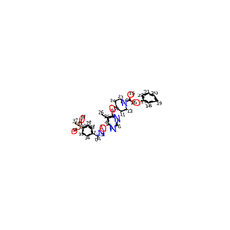 C/C(=N/Oc1ncnc(OC2CCN(C(=O)Oc3ccccc3)CC2)c1C)c1ccc(S(C)(=O)=O)cc1